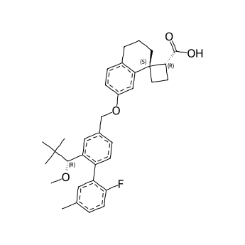 CO[C@@H](c1cc(COc2ccc3c(c2)[C@@]2(CCC3)CC[C@H]2C(=O)O)ccc1-c1cc(C)ccc1F)C(C)(C)C